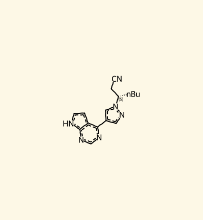 CCCC[C@@H](CC#N)n1cc(-c2ncnc3[nH]ccc23)cn1